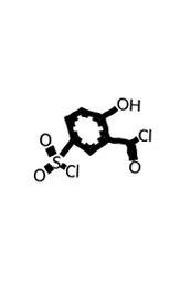 O=C(Cl)c1cc(S(=O)(=O)Cl)ccc1O